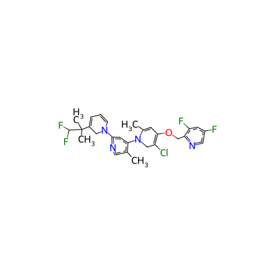 CC1=CC(OCc2ncc(F)cc2F)=C(Cl)CN1c1cc(N2C=CC=C(C(C)(C)C(F)F)C2)ncc1C